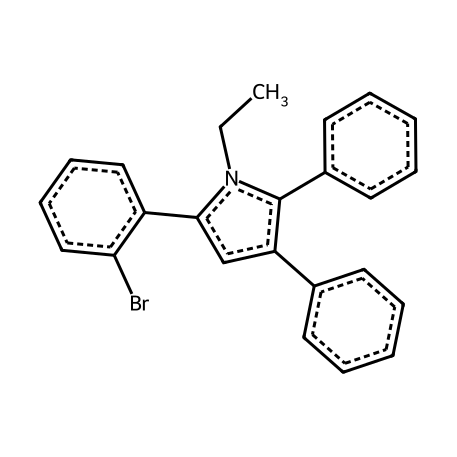 CCn1c(-c2ccccc2Br)cc(-c2ccccc2)c1-c1ccccc1